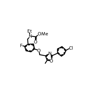 CCN(Cc1cc(OCc2nc(-c3ccc(Cl)cc3)oc2C)ccc1F)C(=O)OC